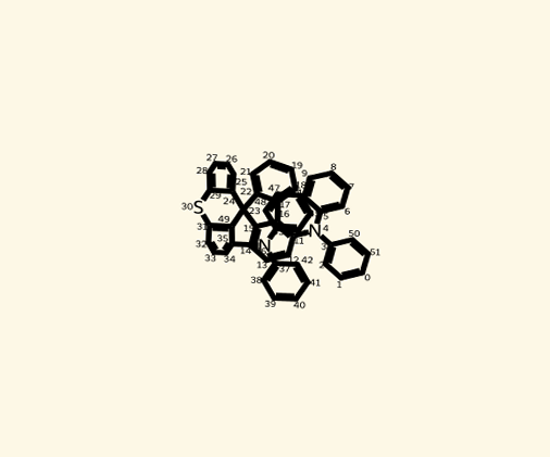 c1ccc(N(c2ccccc2)c2cccc3c2-c2ccccc2C32c3ccccc3Sc3cccc(N(c4ccccc4)c4ccccc4)c32)cc1